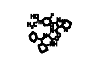 C[C@H](O)c1ccc(-c2nn3cccnc3c2C(=O)N[C@H]2N=C(c3ccccc3)c3ccccc3NC2=O)c(F)c1